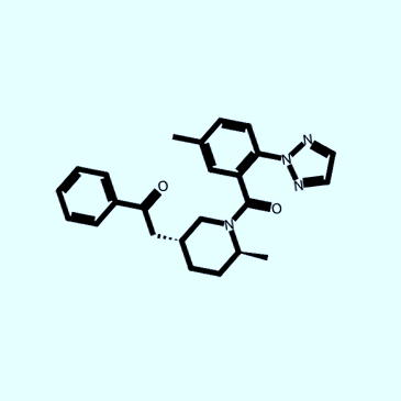 Cc1ccc(-n2nccn2)c(C(=O)N2C[C@@H](CC(=O)c3ccccc3)CC[C@@H]2C)c1